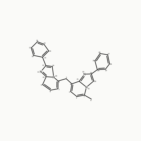 Cc1ccc(Cc2cccc3nc(-c4ccccc4)cn23)c2nc(-c3ccccc3)cn12